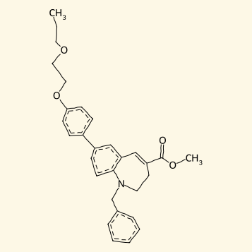 CCCOCCOc1ccc(-c2ccc3c(c2)C=C(C(=O)OC)CCN3Cc2ccccc2)cc1